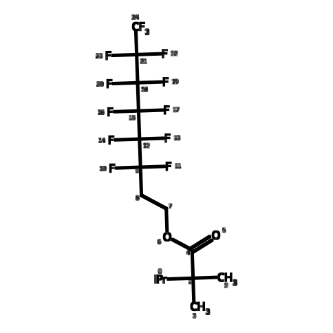 CC(C)C(C)(C)C(=O)OCCC(F)(F)C(F)(F)C(F)(F)C(F)(F)C(F)(F)C(F)(F)F